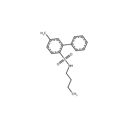 CCCCNS(=O)(=O)c1ccc(C)cc1-c1ccccc1